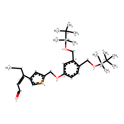 CC/C(=C/C=O)c1csc(COc2ccc(CO[Si](C)(C)C(C)(C)C)c(CO[Si](C)(C)C(C)(C)C)c2)c1